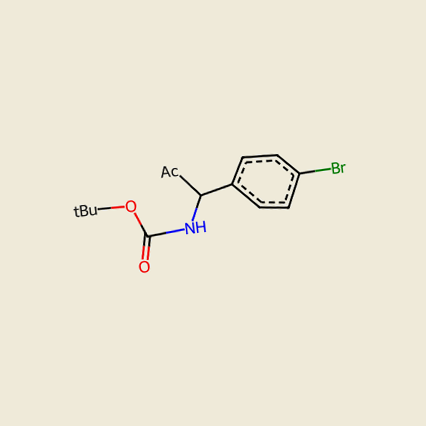 CC(=O)C(NC(=O)OC(C)(C)C)c1ccc(Br)cc1